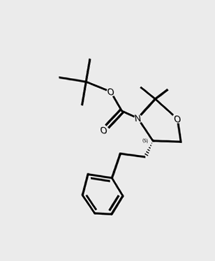 CC(C)(C)OC(=O)N1[C@@H](CCc2ccccc2)COC1(C)C